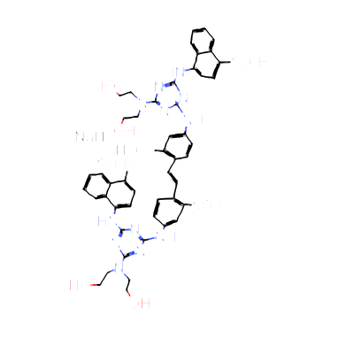 O=S(=O)(O)c1cc(Nc2nc(Nc3ccc(S(=O)(=O)O)c4ccccc34)nc(N(CCO)CCO)n2)ccc1/C=C/c1ccc(Nc2nc(Nc3ccc(S(=O)(=O)O)c4ccccc34)nc(N(CCO)CCO)n2)cc1S(=O)(=O)O.[NaH]